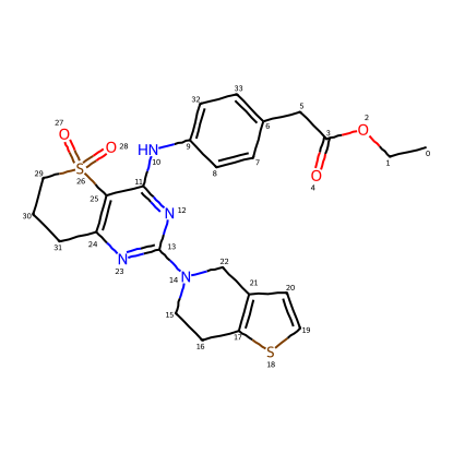 CCOC(=O)Cc1ccc(Nc2nc(N3CCc4sccc4C3)nc3c2S(=O)(=O)CCC3)cc1